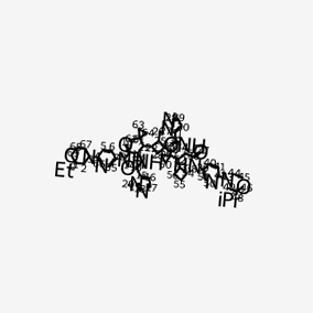 CCC1CN(c2ccc(NC(=O)[C@@H](NC(=O)c3ccnn3C)C(C3CCC3Cn3nccc3C(=O)N[C@H](C(=O)Nc3ccc(N4CCOC(C(C)C)C4)nc3)C(C3CCC3)C3(C)CC3)C3(C)CC3)cn2)CCO1